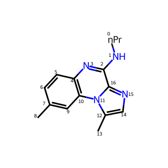 CCCNc1nc2ccc(C)cc2n2c(C)cnc12